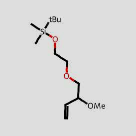 C=CC(COCCO[Si](C)(C)C(C)(C)C)OC